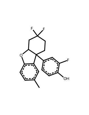 Cc1ccc2c(c1)C1(c3ccc(O)c(F)c3)CCC(F)(F)CC1O2